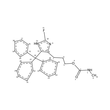 CNC(=O)OCCCc1nc(F)[nH]c1C(c1ccccc1)(c1ccccc1)c1ccccc1